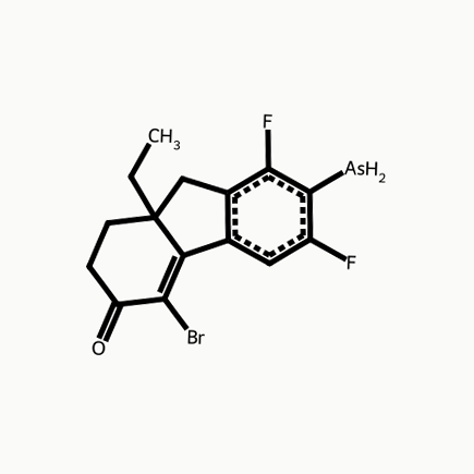 CCC12CCC(=O)C(Br)=C1c1cc(F)c([AsH2])c(F)c1C2